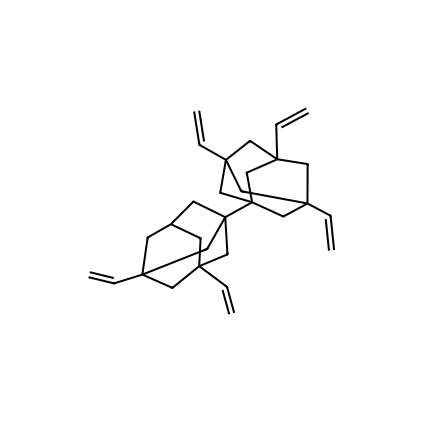 C=CC12CC3CC(C=C)(C1)CC(C14CC5(C=C)CC(C=C)(CC(C=C)(C5)C1)C4)(C3)C2